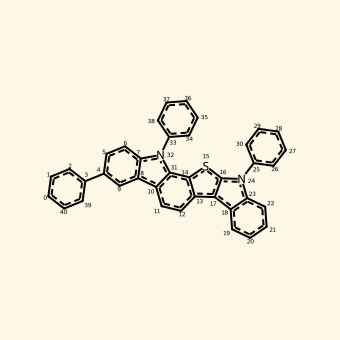 c1ccc(-c2ccc3c(c2)c2ccc4c(sc5c4c4ccccc4n5-c4ccccc4)c2n3-c2ccccc2)cc1